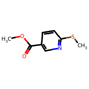 COC(=O)c1ccc(SC)nc1